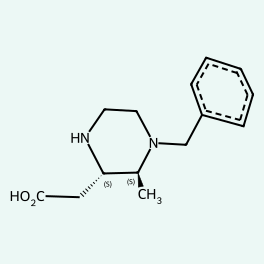 C[C@H]1[C@H](CC(=O)O)NCCN1Cc1ccccc1